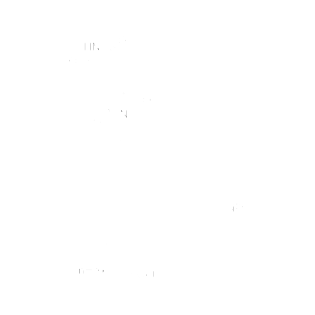 CCCCCCCCC1C(CCCCCC)CC(CCCCCCCCn2c(=O)c3cc4c(=O)[nH]c(=O)c4cc3c2=O)CC1CCCCCCCC(C)C